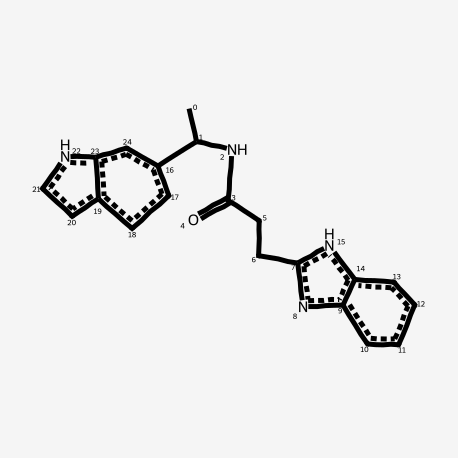 CC(NC(=O)CCc1nc2ccccc2[nH]1)c1ccc2cc[nH]c2c1